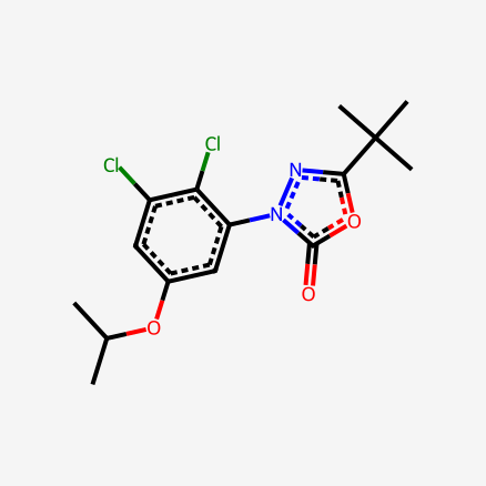 CC(C)Oc1cc(Cl)c(Cl)c(-n2nc(C(C)(C)C)oc2=O)c1